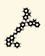 CC1(C)c2ccccc2-c2ccc(N(c3ccc4c(c3)C(C)(C)c3ccccc3-4)c3ccc4c(c3)oc3cc(/C=C/c5cc6ccc7cccc8c7c6c(c5)n8-c5ccccc5)ccc34)cc21